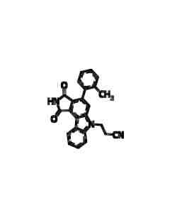 Cc1ccccc1-c1cc2c(c3c1C(=O)NC3=O)c1ccccc1n2CCC#N